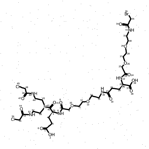 O=C(O)CC[C@H](NC(=O)COCCOCCNC(=O)CC[C@@H](NC(=O)COCCOCCNC(=O)CBr)C(=O)O)C(=O)N(CCNC(=O)CCl)CCNC(=O)CCl